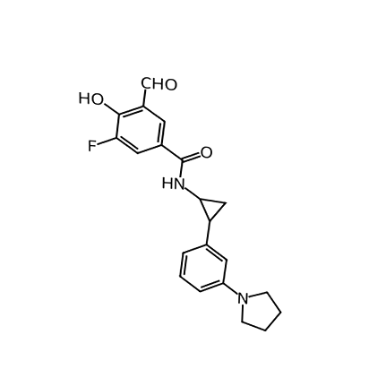 O=Cc1cc(C(=O)NC2CC2c2cccc(N3CCCC3)c2)cc(F)c1O